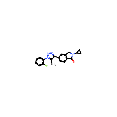 Cc1c(-c2ccc3c(c2)CN(C2CC2)C3=O)nnn1-c1ccccc1F